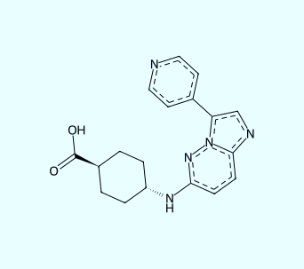 O=C(O)[C@H]1CC[C@H](Nc2ccc3ncc(-c4ccncc4)n3n2)CC1